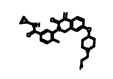 Cc1ccc(C(=O)NC2CC2)cc1N1Cc2cc(OC3CCN(CCF)CC3)ccc2NC1=O